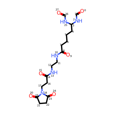 O=[C]NC(CCCCC(=O)NCCNC(=O)CCN1C(=O)CCC1=O)N[C]=O